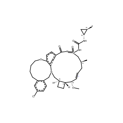 CO[C@H]1/C=C/C[C@H](C)CS(=O)(NC(=O)N[C@@H]2C[C@H]2F)=NC(=O)c2ccc3c(c2)N(Cc2ccc(Cl)cc2CCCCO3)C[C@@H]2CC[C@H]21